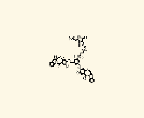 C=NOCC(=O)NC(CSSC(C)(C)CCC(=O)Nc1cc(COc2cc3c(cc2OC)C(=O)N2c4ccccc4C[C@H]2C=N3)cc(COc2cc3c(cc2OC)C(=O)N2c4ccccc4C[C@H]2CN3)c1)C(=O)O